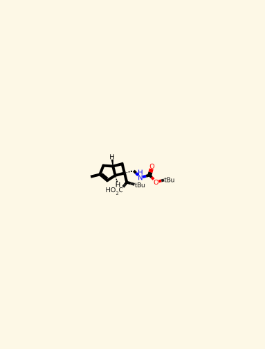 CC1=C[C@H]2[C@H](C1)C[C@@]2(CNC(=O)OC(C)(C)C)C(C(=O)O)C(C)(C)C